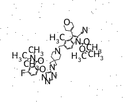 CCN(C(=O)c1cc(F)ccc1Oc1nncnc1N1CC2(CCN(Cc3ccc4c(c3C)c(C3=CCOCC3)c(C#N)n4C(=O)OC(C)(C)C)CC2)C1)C(C)C